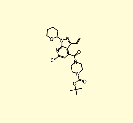 C=Cc1nn(C2CCCCO2)c2nc(Cl)cc(C(=O)N3CCN(C(=O)OC(C)(C)C)CC3)c12